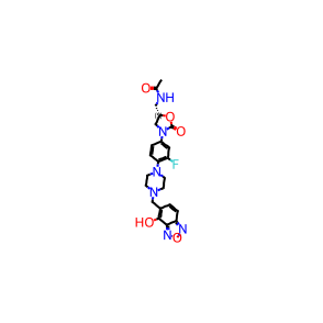 CC(=O)NC[C@H]1CN(c2ccc(N3CCN(Cc4ccc5nonc5c4O)CC3)c(F)c2)C(=O)O1